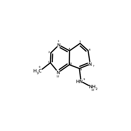 Cc1cnc2ccnc(NN)c2n1